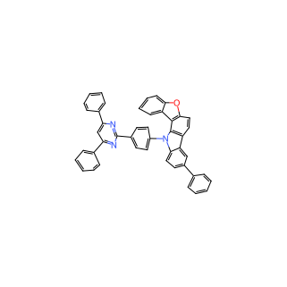 c1ccc(-c2ccc3c(c2)c2ccc4oc5ccccc5c4c2n3-c2ccc(-c3nc(-c4ccccc4)cc(-c4ccccc4)n3)cc2)cc1